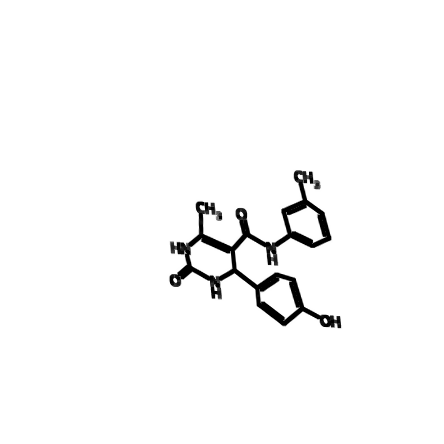 CC1=C(C(=O)Nc2cccc(C)c2)C(c2ccc(O)cc2)NC(=O)N1